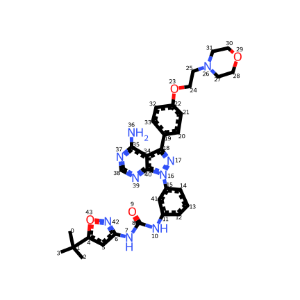 CC(C)(C)c1cc(NC(=O)Nc2cccc(-n3nc(-c4ccc(OCCN5CCOCC5)cc4)c4c(N)ncnc43)c2)no1